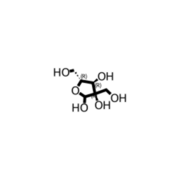 OC[C@H]1OC(O)[C@@](O)(CO)[C@@H]1O